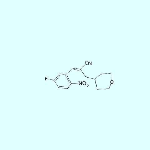 N#CC(=Cc1cc(F)ccc1[N+](=O)[O-])CC1CCOCC1